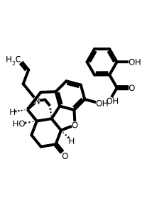 C=CCN1CC[C@]23c4c5ccc(O)c4O[C@H]2C(=O)CC[C@@]3(O)[C@H]1C5.O=C(O)c1ccccc1O